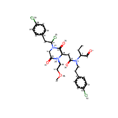 CCC(C=O)N(CCc1ccc(Cl)cc1)C(=O)CC1C(=O)N(C(Cl)Cc2ccc(Cl)cc2)CC(=O)N1CCOC